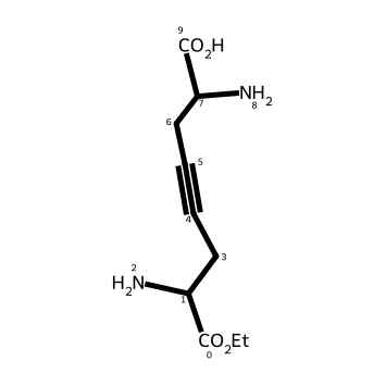 CCOC(=O)C(N)CC#CCC(N)C(=O)O